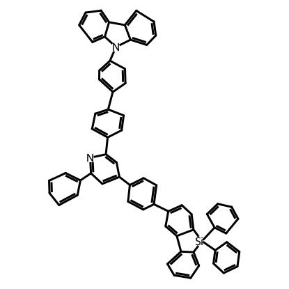 c1ccc(-c2cc(-c3ccc(-c4ccc5c(c4)-c4ccccc4[Si]5(c4ccccc4)c4ccccc4)cc3)cc(-c3ccc(-c4ccc(-n5c6ccccc6c6ccccc65)cc4)cc3)n2)cc1